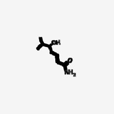 CC(C)[C@@H](O)C/C=C/C(N)=O